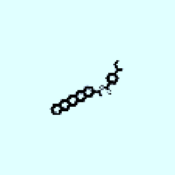 CCC(C)c1ccc(C(=O)OC(C)c2ccc3cc4cc5cc6ccccc6cc5cc4cc3c2)cc1